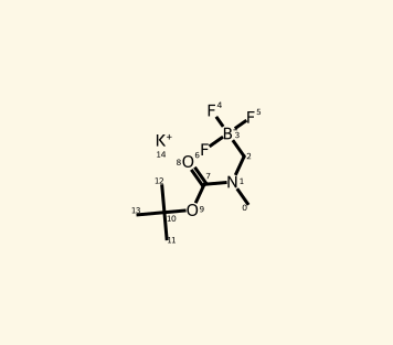 CN(C[B-](F)(F)F)C(=O)OC(C)(C)C.[K+]